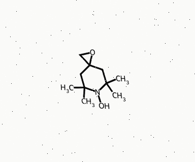 CC1(C)CC2(CO2)CC(C)(C)N1O